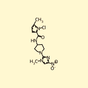 Cc1ccc(C(=O)NC2CCN(c3nc([N+](=O)[O-])cn3C)CC2)n1Cl